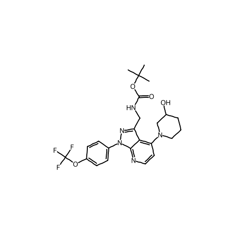 CC(C)(C)OC(=O)NCc1nn(-c2ccc(OC(F)(F)F)cc2)c2nccc(N3CCCC(O)C3)c12